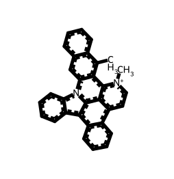 Cc1c2ccccc2cc2c1c1c3c(cc[n+]1C)c1ccccc1c1c4ccccc4n2c13